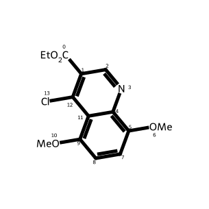 CCOC(=O)c1cnc2c(OC)ccc(OC)c2c1Cl